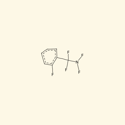 Fc1ccccc1C(F)(F)N(F)F